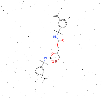 C=C(C)c1cccc(C(C)(C)NC(=O)OCC(CBr)OC(=O)NC(C)(C)c2cccc(C(=C)C)c2)c1